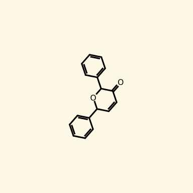 O=C1C=CC(c2ccccc2)OC1c1ccccc1